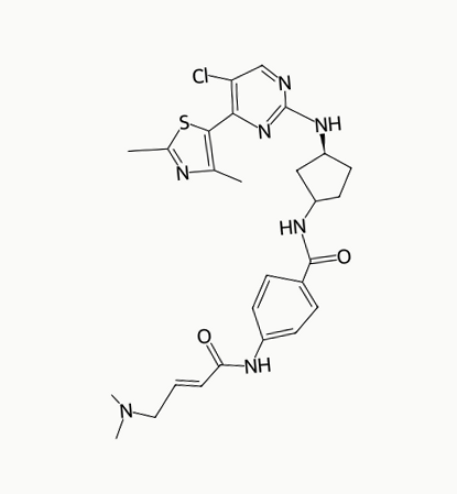 Cc1nc(C)c(-c2nc(N[C@H]3CCC(NC(=O)c4ccc(NC(=O)/C=C/CN(C)C)cc4)C3)ncc2Cl)s1